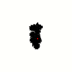 I[C@@H]1CC=Cc2c1c1nc3ccccc3n1c1cc(-c3c4ccccc4c(-c4cccc(C5=NC6C=CC=CC6N5c5ccccc5)c4)c4ccccc34)ccc21